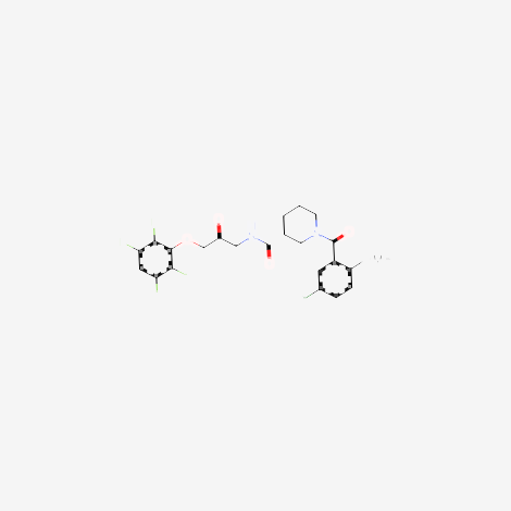 COc1ccc(Cl)cc1C(=O)N1CCC[C@@H](C(=O)NCC(=O)COc2c(F)c(F)cc(F)c2F)C1